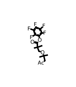 CC(=O)CC(C)(C)OCC(C)(C)C(=O)Oc1c(F)c(F)c(F)c(F)c1F